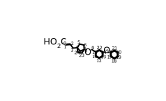 O=C(O)C=CCC12CCC(OCc3cccc(Oc4ccccc4)c3)(CC1)C2